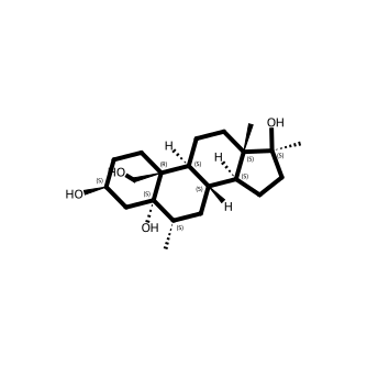 C[C@H]1C[C@@H]2[C@H](CC[C@@]3(C)[C@H]2CC[C@]3(C)O)[C@@]2(CO)CC[C@H](O)C[C@]12O